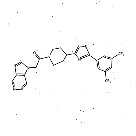 O=C(Cn1cnc2cnccc21)N1CCC(c2csc(-c3cc(C(F)(F)F)cc(C(F)(F)F)c3)n2)CC1